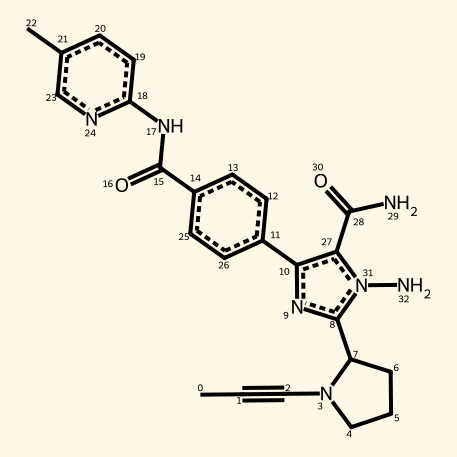 CC#CN1CCCC1c1nc(-c2ccc(C(=O)Nc3ccc(C)cn3)cc2)c(C(N)=O)n1N